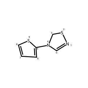 C1=NSCN1c1cccs1